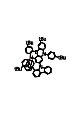 CC(C)(C)c1ccc(N2c3ccc(C(C)(C)C)cc3B3c4cc(C(C)(C)C)ccc4N(c4ccc(C(C)(C)C)cc4)c4cc(-n5c6ccccc6c6cccc(C78CC9CC(CC(C9)C7)C8)c65)cc2c43)cc1